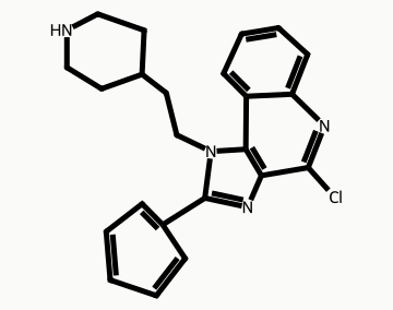 Clc1nc2ccccc2c2c1nc(-c1ccccc1)n2CCC1CCNCC1